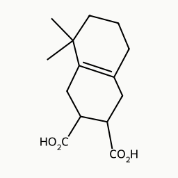 CC1(C)CCCC2=C1CC(C(=O)O)C(C(=O)O)C2